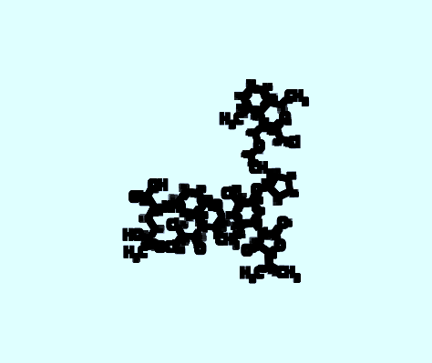 CC(C)=C1OC(=O)N(c2cc(OC3CCCC3)c(Cl)cc2F)C1=O.CC1COc2ccccc2N1C(=O)C(Cl)Cl.CCOCN(C(=O)CCl)c1c(C)cccc1CC.CP(=O)(O)CCC(N)C(=O)O